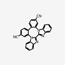 N#Cc1ccc2c3ccc(C#N)cc3n3c4ccccc4nc3c3nc4ccccc4n3c2c1